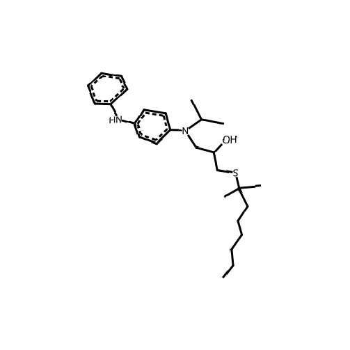 CCCCCCC(C)(C)SCC(O)CN(c1ccc(Nc2ccccc2)cc1)C(C)C